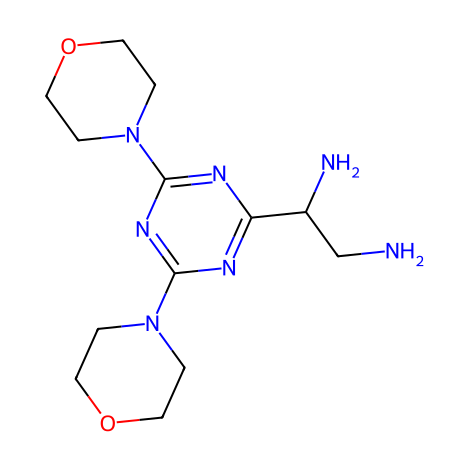 NCC(N)c1nc(N2CCOCC2)nc(N2CCOCC2)n1